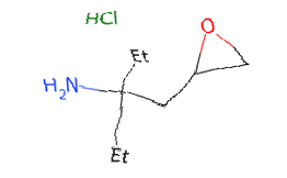 CCC(N)(CC)CC1CO1.Cl